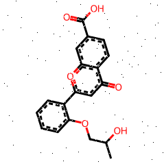 CC(O)COc1ccccc1-c1cc(=O)c2ccc(C(=O)O)cc2o1